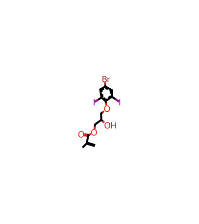 C=C(C)C(=O)OCC(O)COc1c(I)cc(Br)cc1I